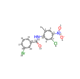 Cc1cc([N+](=O)[O-])c(Cl)cc1NC(=O)c1cccc(Br)c1